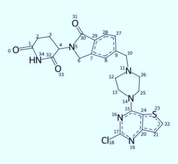 O=C1CCC(N2Cc3cc(CN4CCN(c5nc(Cl)nc6ccsc56)CC4)ccc3C2=O)C(=O)N1